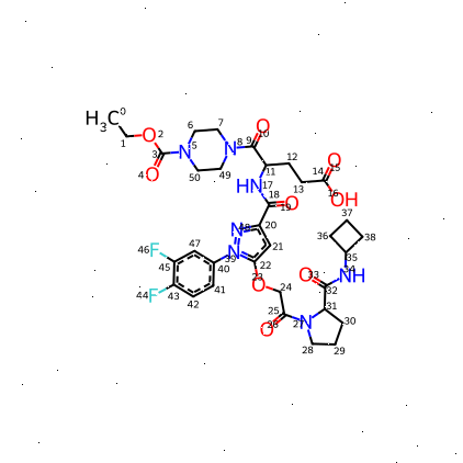 CCOC(=O)N1CCN(C(=O)C(CCC(=O)O)NC(=O)c2cc(OCC(=O)N3CCCC3C(=O)NC3CCC3)n(-c3ccc(F)c(F)c3)n2)CC1